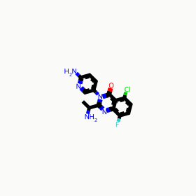 CC(N)c1nc2c(F)ccc(Cl)c2c(=O)n1-c1ccc(N)nc1